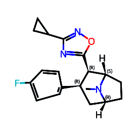 CN1[C@@H]2CC[C@H]1[C@H](c1nc(C3CC3)no1)[C@H](c1ccc(F)cc1)C2